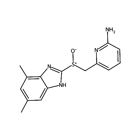 Cc1cc(C)c2nc([S+]([O-])Cc3cccc(N)n3)[nH]c2c1